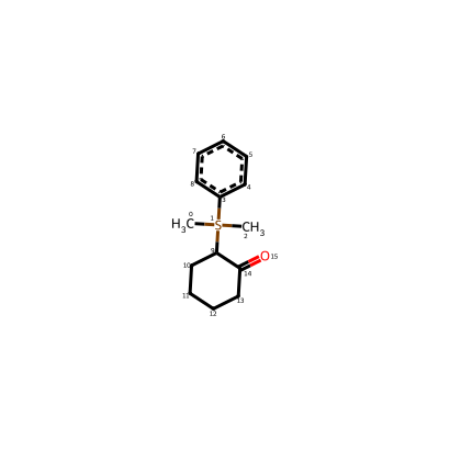 CS(C)(c1ccccc1)C1CCCCC1=O